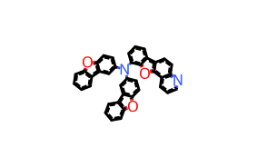 c1ccc2c(c1)oc1ccc(N(c3ccc4oc5ccccc5c4c3)c3cccc4c3oc3c5cccnc5ccc43)cc12